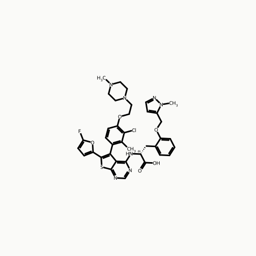 Cc1c(-c2c(-c3ccc(F)o3)sc3ncnc(N[C@H](Cc4ccccc4OCc4ccnn4C)C(=O)O)c23)ccc(OCCN2CCN(C)CC2)c1Cl